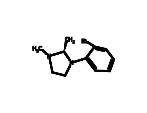 CCc1ccccc1N1CCN(C)[C@@H]1C